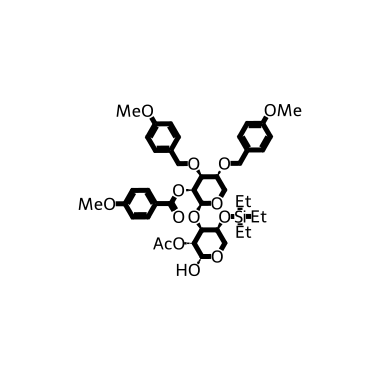 CC[Si](CC)(CC)O[C@H]1CO[C@H](O)[C@H](OC(C)=O)[C@H]1O[C@@H]1OC[C@@H](OCc2ccc(OC)cc2)[C@H](OCc2ccc(OC)cc2)[C@H]1OC(=O)c1ccc(OC)cc1